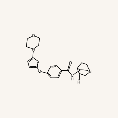 O=C(N[C@H]1CN2CCC1CC2)c1ccc(Oc2ccc(N3CCOCC3)s2)cc1